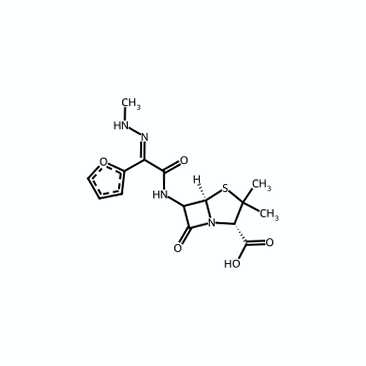 CN/N=C(/C(=O)NC1C(=O)N2[C@@H]1SC(C)(C)[C@@H]2C(=O)O)c1ccco1